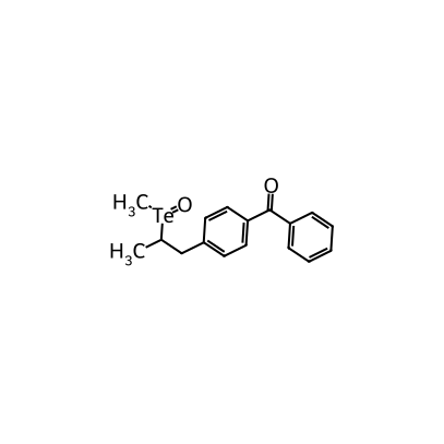 CC(Cc1ccc(C(=O)c2ccccc2)cc1)[Te](C)=O